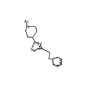 CC(=O)N1CCC(c2nc(CCc3c[c]ccc3)cs2)CC1